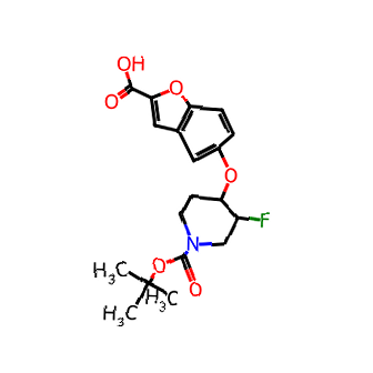 CC(C)(C)OC(=O)N1CCC(Oc2ccc3oc(C(=O)O)cc3c2)C(F)C1